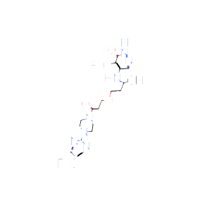 CC(CCOCCC(=O)N1CCN(c2ncc(C(F)(F)F)cn2)CC1)Nc1cn[nH]c(=O)c1C(F)(F)F